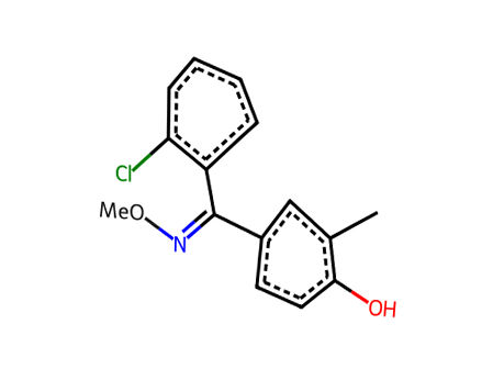 CON=C(c1ccc(O)c(C)c1)c1ccccc1Cl